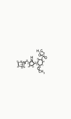 CCS(=O)(=O)c1ccc(OC)c(-c2ccc(CN3CC4C=CC3C4)[nH]2)c1